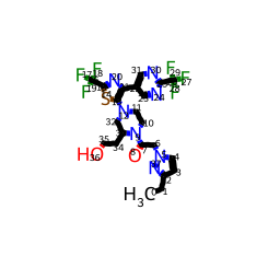 CCc1ccn(CC(=O)N2CCN(c3sc(C(F)(F)F)nc3-c3cnc(C(F)(F)F)nc3)CC2CCO)n1